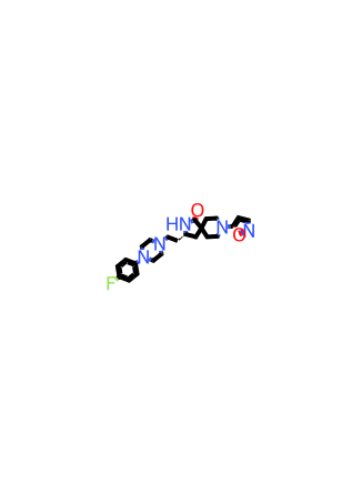 O=C1N[C@@H](CCN2CCN(c3ccc(F)cc3)CC2)CC12CCN(c1ccno1)CC2